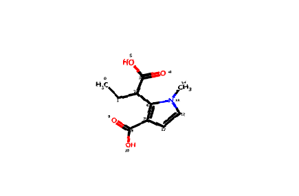 CCC(C(=O)O)c1c(C(=O)O)ccn1C